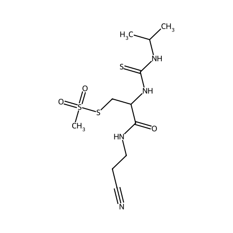 CC(C)NC(=S)NC(CSS(C)(=O)=O)C(=O)NCCC#N